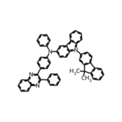 CC1(C)c2ccccc2-c2ccc(-n3c4ccccc4c4cc(N(c5ccccc5)c5ccc(-c6nc7ccccc7nc6-c6ccccc6)cc5)ccc43)cc21